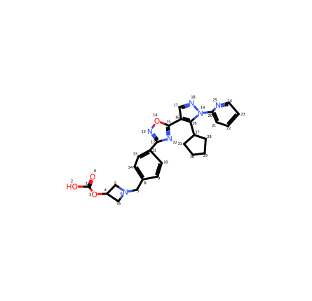 O=C(O)OC1CN(Cc2ccc(-c3noc(-c4cnn(-c5ccccn5)c4C4CCCC4)n3)cc2)C1